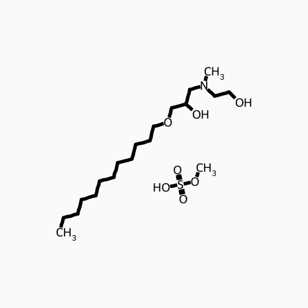 CCCCCCCCCCCCOCC(O)CN(C)CCO.COS(=O)(=O)O